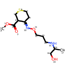 COC(=O)C1CSCCC1=NOCCCNC(C)CO